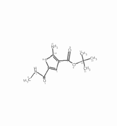 CNC(=O)c1cc(C(=O)OC(C)(C)C)c(N)s1